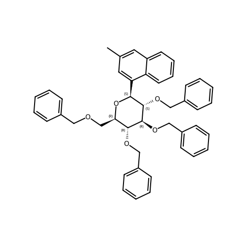 Cc1cc([C@@H]2O[C@H](COCc3ccccc3)[C@@H](OCc3ccccc3)[C@H](OCc3ccccc3)[C@H]2OCc2ccccc2)c2ccccc2c1